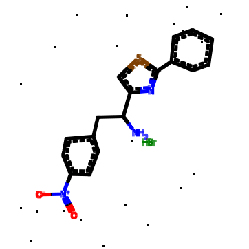 Br.NC(Cc1ccc([N+](=O)[O-])cc1)c1csc(-c2ccccc2)n1